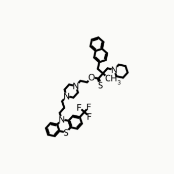 CC(Cc1ccc2ccccc2c1)(CN1CCCCC1)C(=S)OCCN1CCN(CCCN2c3ccccc3Sc3ccc(C(F)(F)F)cc32)CC1